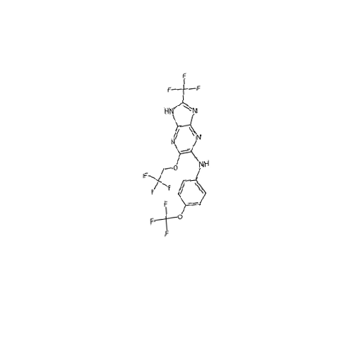 FC(F)(F)COc1nc2[nH]c(C(F)(F)F)nc2nc1Nc1ccc(OC(F)(F)F)cc1